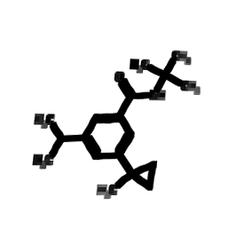 CC(C)c1cc(C(=O)NC(C)(C)C)cc(C2(C)CC2)c1